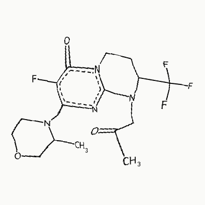 CC(=O)CN1c2nc(N3CCOCC3C)c(F)c(=O)n2CCC1C(F)(F)F